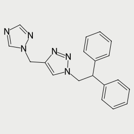 c1ccc(C(Cn2cc(Cn3cncn3)nn2)c2ccccc2)cc1